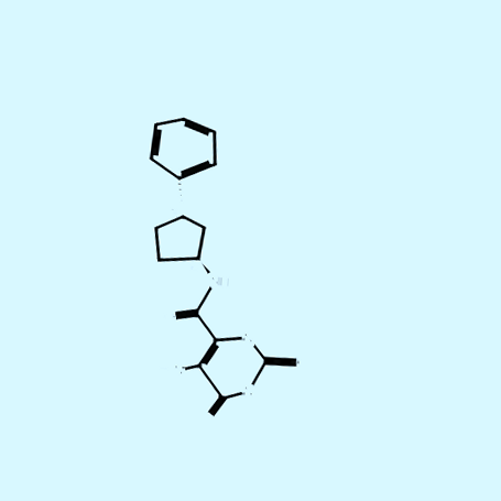 Nc1c(C(=O)N[C@H]2CC[C@H](c3ccccc3)C2)[nH]c(=O)[nH]c1=O